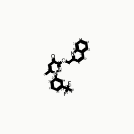 Cc1cc(=O)c(OCc2ccc3ccccc3n2)nn1-c1cccc(C(F)(F)F)c1